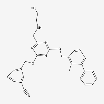 Cc1c(COc2nc(CNCCO)nc(OCc3cccc(C#N)c3)n2)cccc1-c1ccccc1